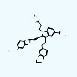 COC(=O)c1ccc2c(c1)c(CCc1ccc3c(c1)OCCO3)c(C#Cc1nc3ccc(OC)cc3s1)n2CCc1nn[nH]n1